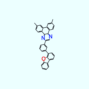 Cc1ccc2c(c1)c1cc(C)ccc1c1nc(-c3cccc(-c4cccc5c4oc4ccccc45)c3)cnc21